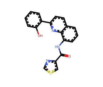 O=C(Nc1cccc2ccc(-c3ccccc3O)nc12)c1cscn1